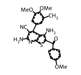 COc1ccc(C(=O)c2sc3nc(N)c(C#N)c(-c4cc(C)c(OC)c(OC)c4)c3c2N)cc1